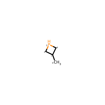 CC1CPC1